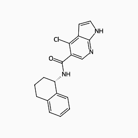 O=C(N[C@H]1CCCc2ccccc21)c1cnc2[nH]ccc2c1Cl